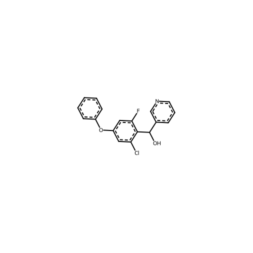 OC(c1cccnc1)c1c(F)cc(Oc2ccccc2)cc1Cl